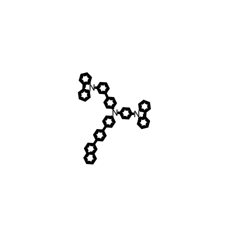 c1cc(-c2ccc(N(c3ccc(-c4ccc(-c5ccc6ccccc6c5)cc4)cc3)c3ccc(-n4c5ccccc5c5ccccc54)cc3)cc2)cc(-n2c3ccccc3c3ccccc32)c1